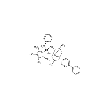 CC1=C(C)C(C)[C]([Hf]([CH3])([NH]C23CC4CC(C)(CC(C)(C4)C2)C3)[SiH2]c2ccccc2)=C1C.c1ccc(-c2ccccc2)cc1